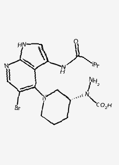 CC(C)C(=O)Nc1c[nH]c2ncc(Br)c(N3CCC[C@@H](N(N)C(=O)O)C3)c12